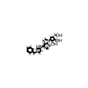 OC[C@H]1C[C@@H](n2cnc3c(N[C@H]4CCN(Cc5ccccc5)C4)ncnc32)[C@@H](O)[C@H]1O